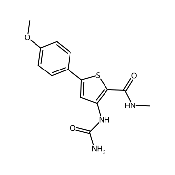 CNC(=O)c1sc(-c2ccc(OC)cc2)cc1NC(N)=O